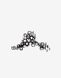 Cn1c(=O)n(C2CCC3(CC2)CN(C(=O)OC(C)(C)C)C3)c2c3c(-c4ccc(C#N)cc4)c(Cl)n(COCC[Si](C)(C)C)c3ncc21